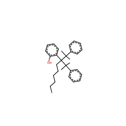 CCCCCCC(c1ccccc1O)(C(C)(C)c1ccccc1)C(C)(C)c1ccccc1